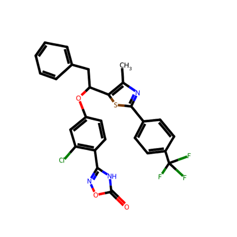 Cc1nc(-c2ccc(C(F)(F)F)cc2)sc1C(Cc1ccccc1)Oc1ccc(-c2noc(=O)[nH]2)c(Cl)c1